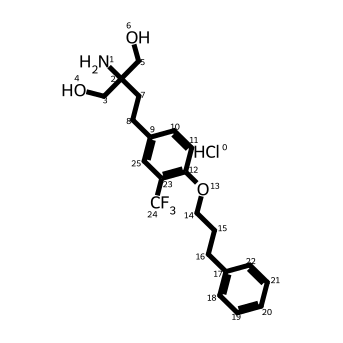 Cl.NC(CO)(CO)CCc1ccc(OCCCc2ccccc2)c(C(F)(F)F)c1